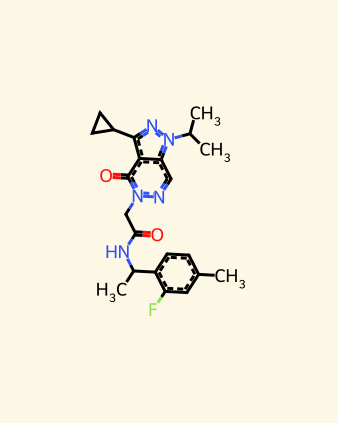 Cc1ccc(C(C)NC(=O)Cn2ncc3c(c(C4CC4)nn3C(C)C)c2=O)c(F)c1